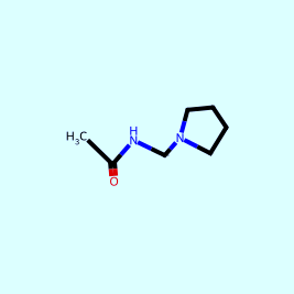 CC(=O)N[CH]N1CCCC1